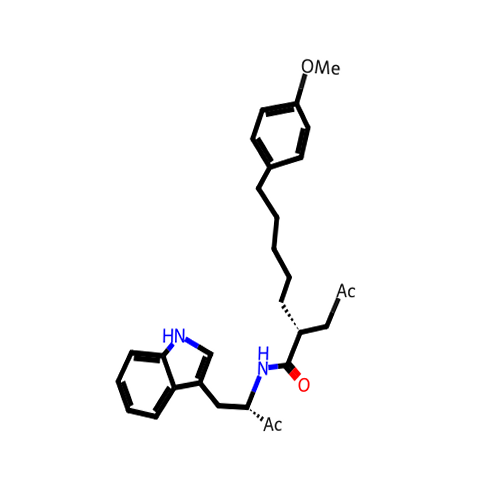 COc1ccc(CCCCC[C@H](CC(C)=O)C(=O)N[C@@H](Cc2c[nH]c3ccccc23)C(C)=O)cc1